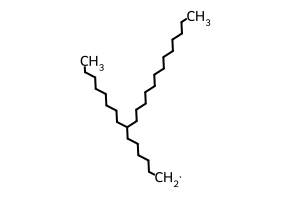 [CH2]CCCCCC(CCCCCCCC)CCCCCCCCCCCCC